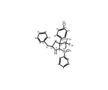 [O-][S+](c1ccccc1)C1NC(Cc2ccccc2)CC1(c1ccc(Cl)cc1)C(F)(F)F